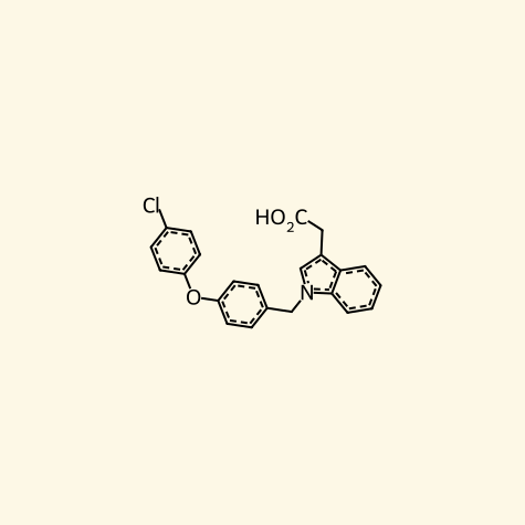 O=C(O)Cc1cn(Cc2ccc(Oc3ccc(Cl)cc3)cc2)c2ccccc12